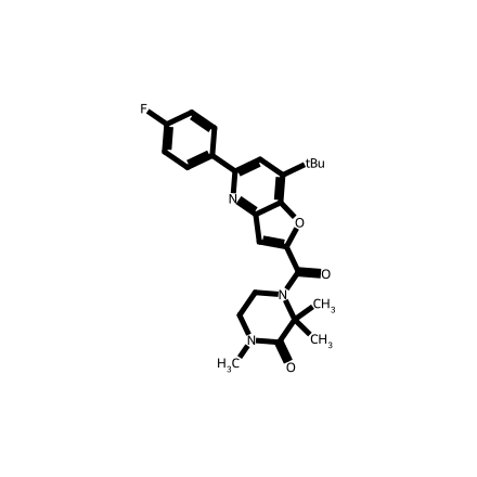 CN1CCN(C(=O)c2cc3nc(-c4ccc(F)cc4)cc(C(C)(C)C)c3o2)C(C)(C)C1=O